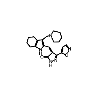 O=C1NN=C(c2ccno2)C1=Cc1[nH]c2c(c1CN1CCCCC1)CCCC2